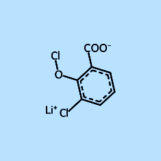 O=C([O-])c1cccc(Cl)c1OCl.[Li+]